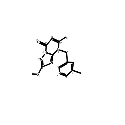 CSc1nc2n(Cc3cncc(C)c3)c(C)cc(=O)n2n1